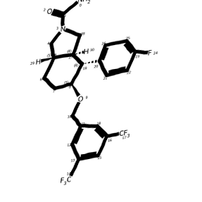 NC(=O)N1C[C@H]2CC[C@H](OCc3cc(C(F)(F)F)cc(C(F)(F)F)c3)[C@@H](c3ccc(F)cc3)[C@@H]2C1